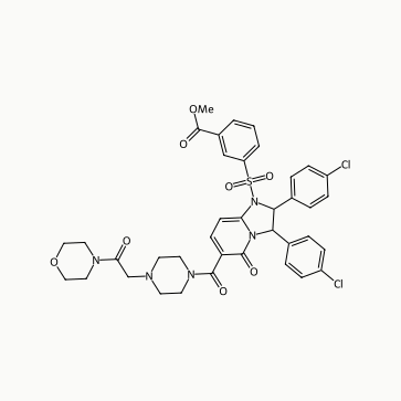 COC(=O)c1cccc(S(=O)(=O)N2c3ccc(C(=O)N4CCN(CC(=O)N5CCOCC5)CC4)c(=O)n3C(c3ccc(Cl)cc3)C2c2ccc(Cl)cc2)c1